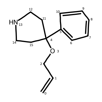 C=CCOC1(c2ccccc2)CCNCC1